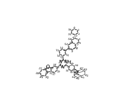 c1ccc(-c2ccc3ccc(-c4cccc(C5N=C(c6ccc7c(c6)oc6ccccc67)N=C(c6ccc(C78CC9CC(CC(C9)C7)C8)cc6)N5)c4)cc3c2)cc1